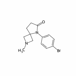 CN1CC2(CCC(=O)N2c2ccc(Br)cc2)C1